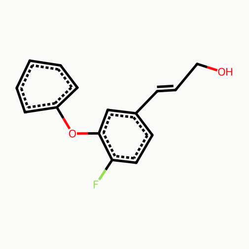 OCC=Cc1ccc(F)c(Oc2ccccc2)c1